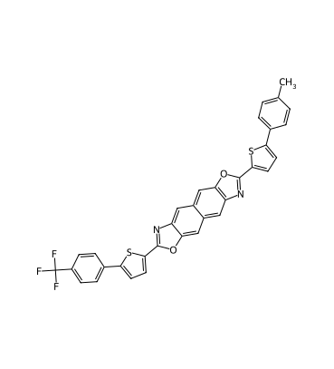 Cc1ccc(-c2ccc(-c3nc4cc5cc6oc(-c7ccc(-c8ccc(C(F)(F)F)cc8)s7)nc6cc5cc4o3)s2)cc1